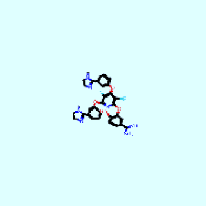 CN1CCN=C1c1cccc(Oc2nc(Oc3cc(C(=N)N)ccc3O)c(F)c(Oc3cccc(C4=NCCN4C)c3)c2F)c1